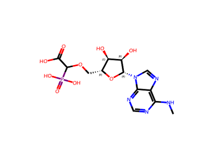 CNc1ncnc2c1ncn2[C@@H]1O[C@H](COC(C(=O)O)P(=O)(O)O)[C@@H](O)[C@H]1O